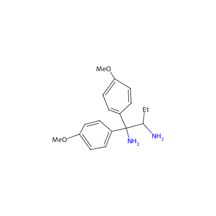 CCC(N)C(N)(c1ccc(OC)cc1)c1ccc(OC)cc1